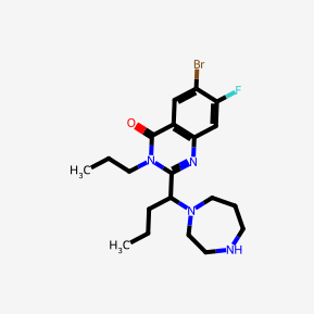 CCCC(c1nc2cc(F)c(Br)cc2c(=O)n1CCC)N1CCCNCC1